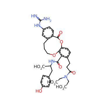 N=C(N)Nc1ccc2c(c1)CCCOc1c(ccc(CCC(=O)N(CC(=O)O)CC(=O)O)c1C(=O)NC(Cc1ccc(O)cc1)C(=O)O)OC2=O